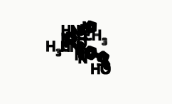 Cc1ncc(NC(=O)CN2CCC[C@H]2C)cc1NC(=O)c1nnc2cc(-c3ccc(CO)s3)ccn12